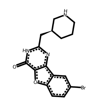 O=c1[nH]c(C[C@@H]2CCCNC2)nc2c1oc1ccc(Br)cc12